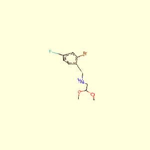 COC(CNCc1ccc(F)cc1Br)OC